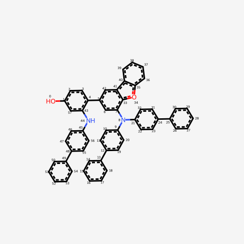 Oc1ccc(-c2cc(N(c3ccc(-c4ccccc4)cc3)c3ccc(-c4ccccc4)cc3)c3oc4ccccc4c3c2)c(Nc2ccc(-c3ccccc3)cc2)c1